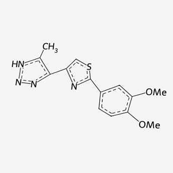 COc1ccc(-c2nc(-c3nn[nH]c3C)cs2)cc1OC